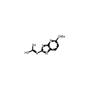 COc1ccc2nc(N=C(S)S)sc2n1